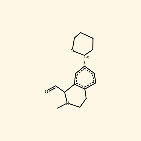 CN1CCc2ccc([C@H]3CCCCO3)cc2C1C=O